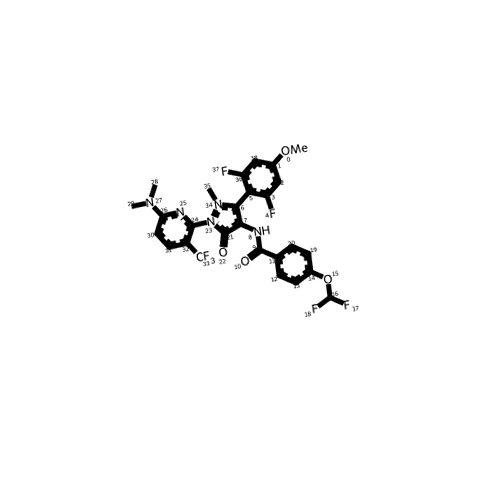 COc1cc(F)c(-c2c(NC(=O)c3ccc(OC(F)F)cc3)c(=O)n(-c3nc(N(C)C)ccc3C(F)(F)F)n2C)c(F)c1